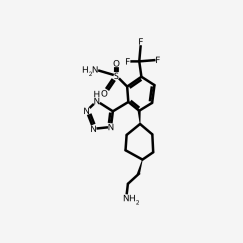 NCC[C@H]1CC[C@@H](c2ccc(C(F)(F)F)c(S(N)(=O)=O)c2-c2nnn[nH]2)CC1